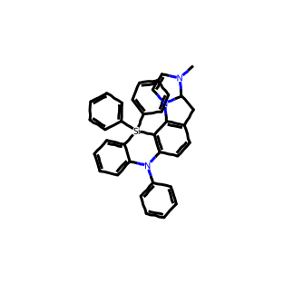 CN1C=CN2c3c(ccc4c3[Si](c3ccccc3)(c3ccccc3)c3ccccc3N4c3ccccc3)CC12